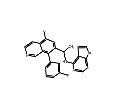 CC(Nc1ncnc2[nH]cnc12)c1cc(Cl)c2ccncc2c1-c1cccc(F)c1